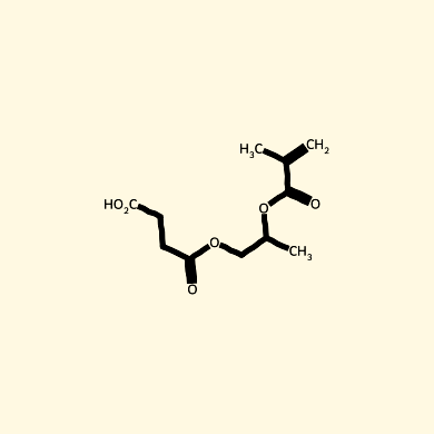 C=C(C)C(=O)OC(C)COC(=O)CCC(=O)O